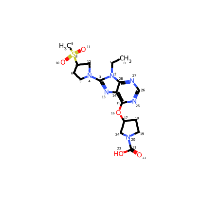 CCn1c(N2CCC(S(C)(=O)=O)C2)nc2c(OC3CCN(C(=O)O)C3)ncnc21